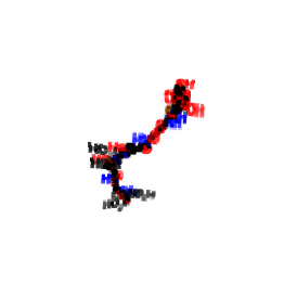 O=C(O)CCC(NC(=O)NC(CCCCNC(=O)CCc1ccc(O)c(CN(CCN(CC(=O)O)Cc2cc(CCC(=O)NCCOCCOCCNC(=S)Nc3ccc4c(c3)C(=O)OC43c4ccc(O)cc4Oc4cc(O)ccc43)ccc2O)CC(=O)O)c1)C(=O)O)C(=O)O